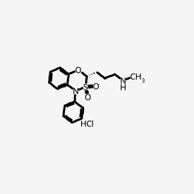 CNCCC[C@H]1Oc2ccccc2N(c2ccccc2)S1(=O)=O.Cl